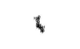 O=C1CCc2c(cccc2Oc2ccc3c(c2)[C@H]2[C@@H](O3)[C@@H]2c2nc3cc(C(F)(F)F)ccc3[nH]2)N1